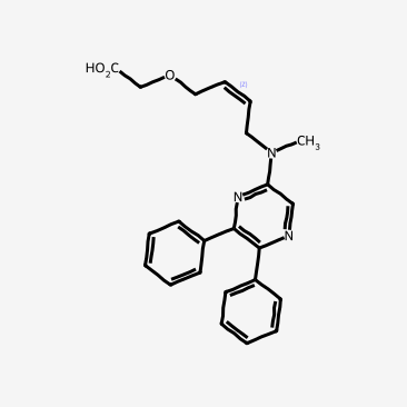 CN(C/C=C\COCC(=O)O)c1cnc(-c2ccccc2)c(-c2ccccc2)n1